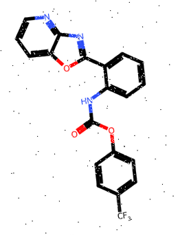 O=C(Nc1ccccc1-c1nc2ncccc2o1)Oc1ccc(C(F)(F)F)cc1